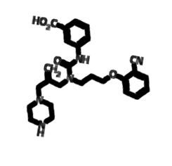 C=C(CN1CCNCC1)CN(CCCOc1ccccc1C#N)C(=O)Nc1cccc(C(=O)O)c1